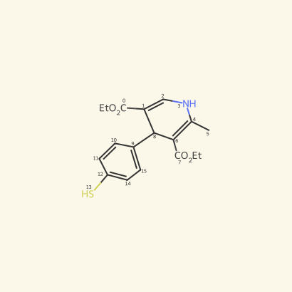 CCOC(=O)C1=CNC(C)=C(C(=O)OCC)C1c1ccc(S)cc1